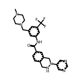 CN1CCN(Cc2cc(NC(=O)c3ccc4c(c3)CN(c3cncnc3)NC4)cc(C(F)(F)F)c2)CC1